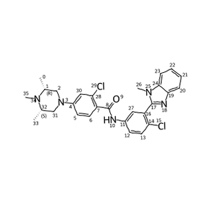 C[C@@H]1CN(c2ccc(C(=O)Nc3ccc(Cl)c(-c4nc5ccccc5n4C)c3)c(Cl)c2)C[C@H](C)N1C